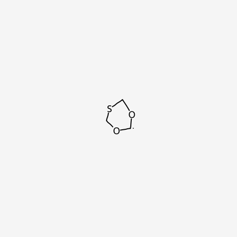 [CH]1OCSCO1